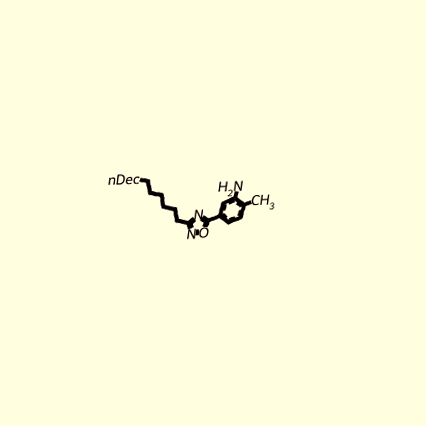 CCCCCCCCCCCCCCCCc1noc(-c2ccc(C)c(N)c2)n1